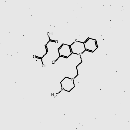 CN1CCN(CCCN2c3ccccc3Sc3ccc(Cl)cc32)CC1.O=C(O)C=CC(=O)O